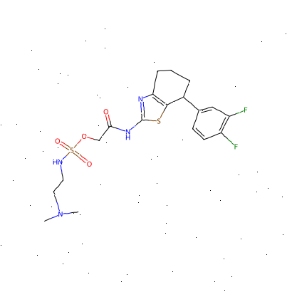 CN(C)CCNS(=O)(=O)OCC(=O)Nc1nc2c(s1)C(c1ccc(F)c(F)c1)CCC2